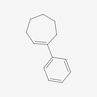 [c]1ccccc1C1=CCCCCC1